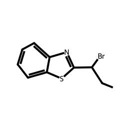 CCC(Br)c1nc2ccccc2s1